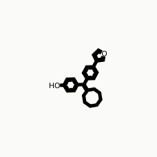 Oc1ccc(C(=C2CCCCCCC2)c2ccc(-c3ccoc3)cc2)cc1